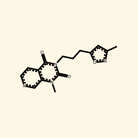 Cc1cc(CCCn2c(=O)c3ccncc3n(C)c2=O)on1